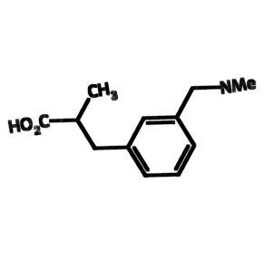 CNCc1cccc(CC(C)C(=O)O)c1